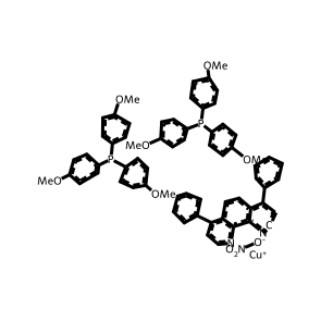 COc1ccc(P(c2ccc(OC)cc2)c2ccc(OC)cc2)cc1.COc1ccc(P(c2ccc(OC)cc2)c2ccc(OC)cc2)cc1.O=[N+]([O-])[O-].[Cu+].c1ccc(-c2ccnc3c2ccc2c(-c4ccccc4)ccnc23)cc1